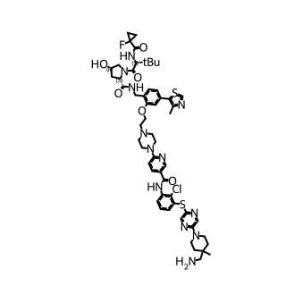 Cc1ncsc1-c1ccc(CNC(=O)[C@@H]2C[C@@H](O)CN2C(=O)[C@@H](NC(=O)C2(F)CC2)C(C)(C)C)c(OCCN2CCN(c3ccc(C(=O)Nc4cccc(Sc5cnc(N6CCC(C)(CN)CC6)cn5)c4Cl)cn3)CC2)c1